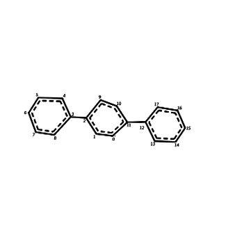 [c]1cc(-c2ccccc2)ccc1-c1ccccc1